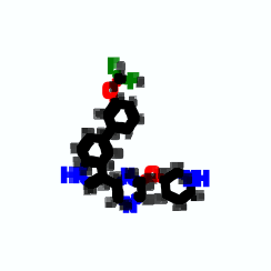 FC(F)Oc1cccc(-c2ccc3[nH]cc(-c4cncc(OC5CCCNC5)n4)c3c2)c1